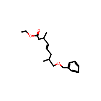 CCOC(=O)CC(C)C=CCC(C)COCc1ccccc1